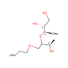 CCCCCCCCCCCCOCC(O[C@H](OC)[C@H](O)CO)[C@@H](C)O